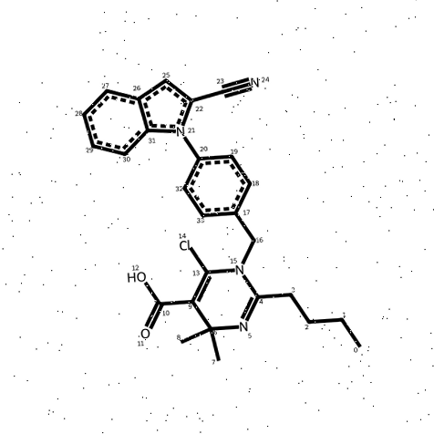 CCCCC1=NC(C)(C)C(C(=O)O)=C(Cl)N1Cc1ccc(-n2c(C#N)cc3ccccc32)cc1